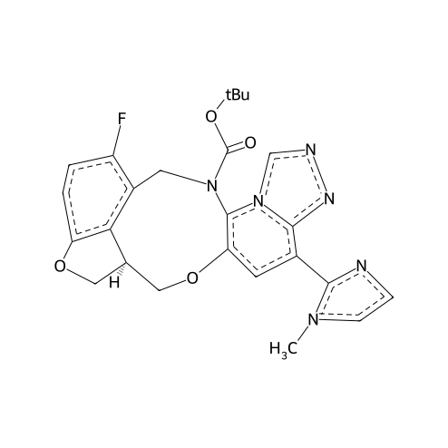 Cn1ccnc1-c1cc2c(n3cnnc13)N(C(=O)OC(C)(C)C)Cc1c(F)ccc3c1[C@H](CO3)CO2